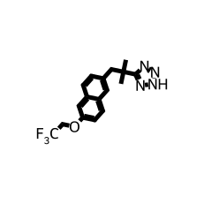 CC(C)(Cc1ccc2cc(OCC(F)(F)F)ccc2c1)c1nn[nH]n1